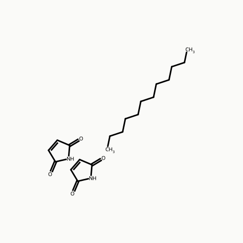 CCCCCCCCCCCC.O=C1C=CC(=O)N1.O=C1C=CC(=O)N1